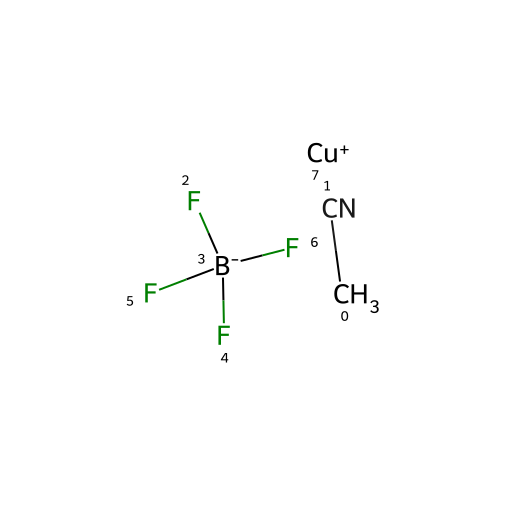 CC#N.F[B-](F)(F)F.[Cu+]